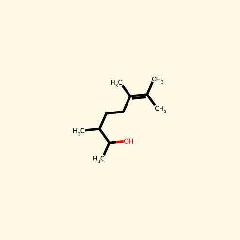 CC(C)=C(C)CCC(C)C(C)O